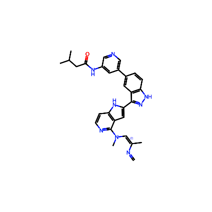 C=N/C(C)=C\N(C)c1nccc2[nH]c(-c3n[nH]c4ccc(-c5cncc(NC(=O)CC(C)C)c5)cc34)cc12